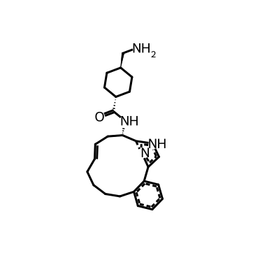 NC[C@H]1CC[C@H](C(=O)N[C@H]2C/C=C/CCCCc3ccccc3-c3c[nH]c2n3)CC1